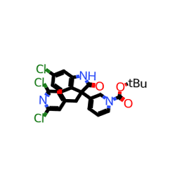 CC(C)(C)OC(=O)N1C=CC=C(C2(Cc3cc(Cl)nc(Cl)c3)C(=O)Nc3cc(Cl)ccc32)C1